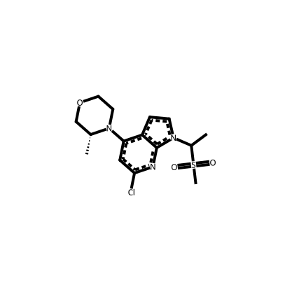 CC(n1ccc2c(N3CCOC[C@H]3C)cc(Cl)nc21)S(C)(=O)=O